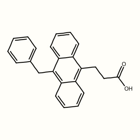 O=C(O)CCc1c2ccccc2c(Cc2ccccc2)c2ccccc12